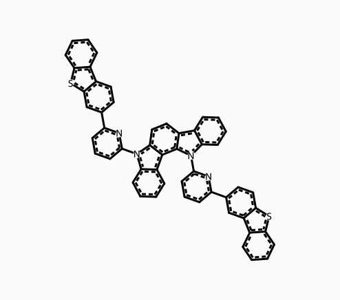 c1cc(-c2ccc3c(c2)sc2ccccc23)nc(-n2c3ccccc3c3c2ccc2c4ccccc4n(-c4cccc(-c5ccc6sc7ccccc7c6c5)n4)c23)c1